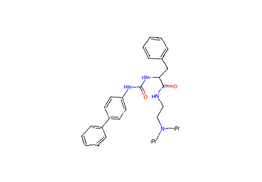 CC(C)N(CCNC(=O)C(Cc1ccccc1)NC(=O)Nc1ccc(-c2ccccc2)cc1)C(C)C